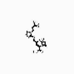 NC(=O)CCn1nnnc1SCC1C=C(C(=O)O)N2C(=O)C[C@H]2S1